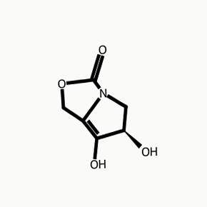 O=C1OCC2=C(O)[C@H](O)CN12